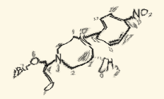 C[C@@H]1CN(C(=O)OC(C)(C)C)CCN1c1ccc([N+](=O)[O-])cc1